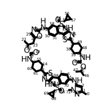 Cc1cc(Nc2ccc(-c3cnc(C4CCC(NC(=O)OC(C)Cc5cnc(Nc6ccc(-c7cnc(C8CCC(NC(=O)OC(C)C)CC8)s7)c(S(=N)(=O)C7CC7)c6)o5)CC4)s3)c(S(=N)(=O)C3CC3)c2)n(C)n1